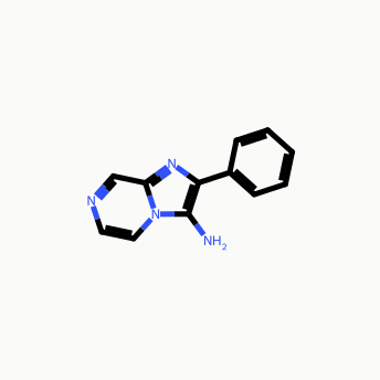 Nc1c(-c2ccccc2)nc2cnccn12